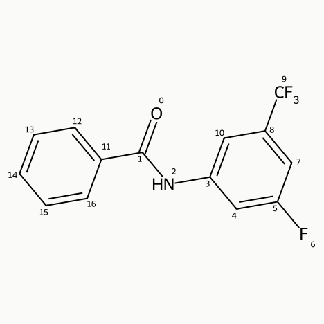 O=C(Nc1cc(F)cc(C(F)(F)F)c1)c1ccccc1